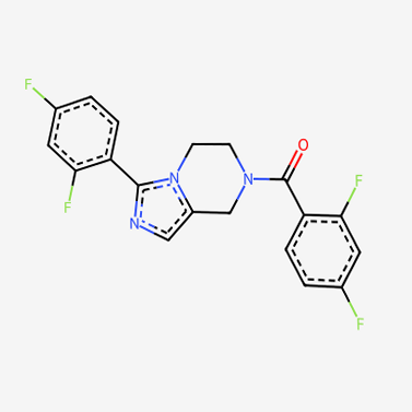 O=C(c1ccc(F)cc1F)N1CCn2c(cnc2-c2ccc(F)cc2F)C1